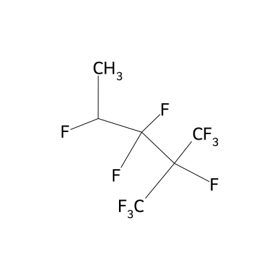 CC(F)C(F)(F)C(F)(C(F)(F)F)C(F)(F)F